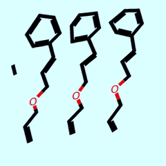 C=CCOCC=Cc1ccccc1.C=CCOCC=Cc1ccccc1.C=CCOCC=Cc1ccccc1.CC